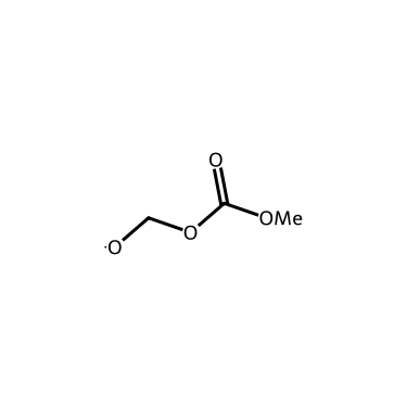 COC(=O)OC[O]